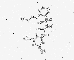 C=CCSc1ccccc1S(=O)(=O)NC(=O)Nc1nc(C)cc(C)n1